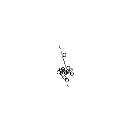 CCCCCCCC(=O)CCCCCC/C=C/[C@H](C(=O)N[C@@H](Cc1ccc(OCCCC)cc1)C(=O)OC)[C@@](O)(CCOC)C(=O)OC(C)(C)C